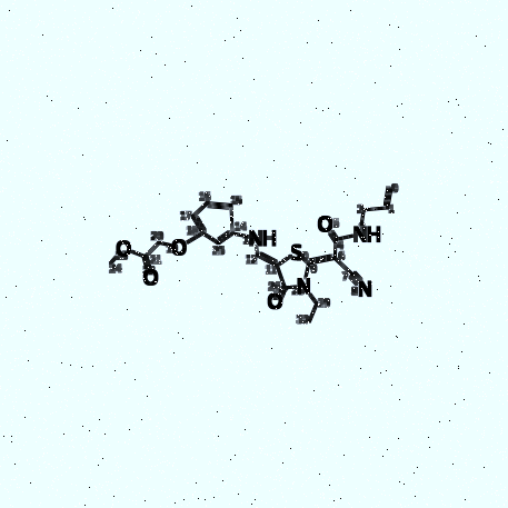 C=CCNC(=O)C(C#N)=c1sc(=CNc2cccc(OCC(=O)OC)c2)c(=O)n1CC